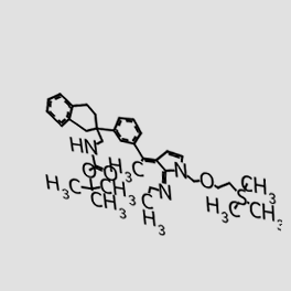 CC/N=C1\C(=C(/C)c2cccc(C3(CNC(=O)OC(C)(C)C)CCc4ccccc4C3)c2)C=CN1COCCS(C)(C)C